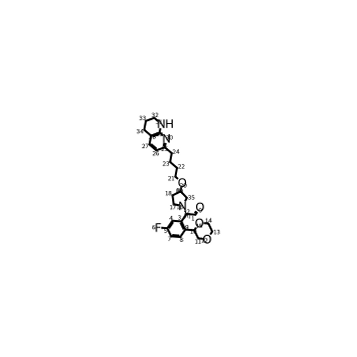 O=C[C@@H](c1cc(F)ccc1C1COCCO1)N1CC[C@@H](OCCCCc2ccc3c(n2)NCCC3)C1